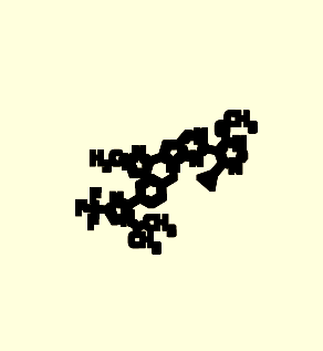 COc1ncnc(C2CC2)c1-c1ncc2cc(-c3ccn(C)n3)n(Cc3ccc(-c4nc(C(F)(F)F)cn4C(C)C)cc3)c2n1